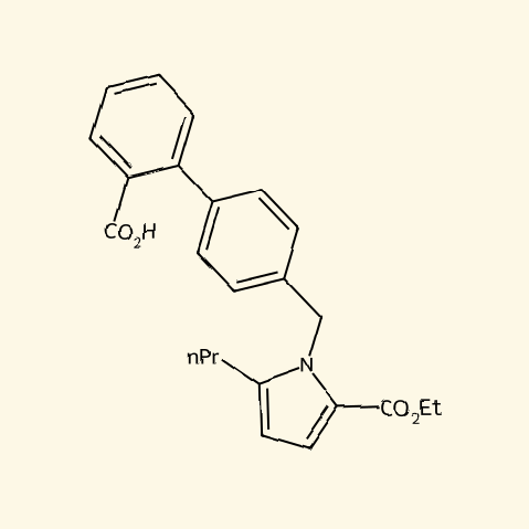 CCCc1ccc(C(=O)OCC)n1Cc1ccc(-c2ccccc2C(=O)O)cc1